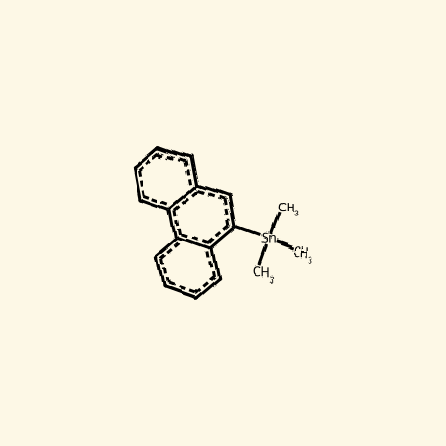 [CH3][Sn]([CH3])([CH3])[c]1cc2ccccc2c2ccccc12